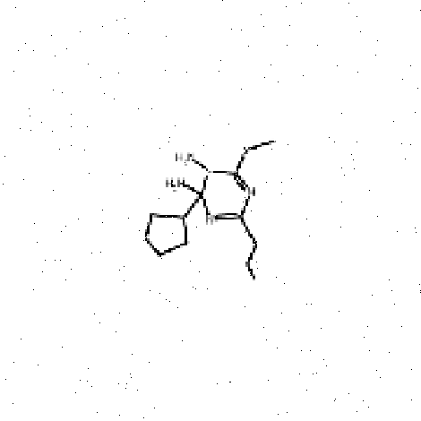 CCCC1=NC(N)(C2CCCC2)N(N)C(SC)=N1